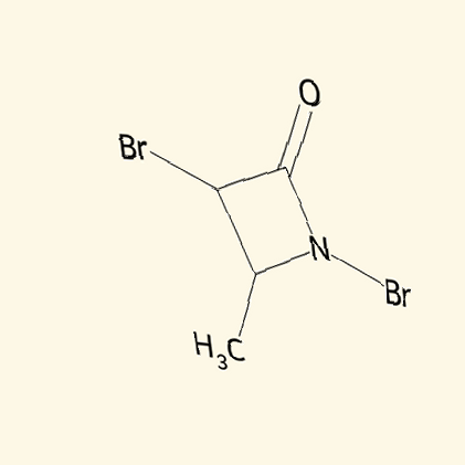 CC1C(Br)C(=O)N1Br